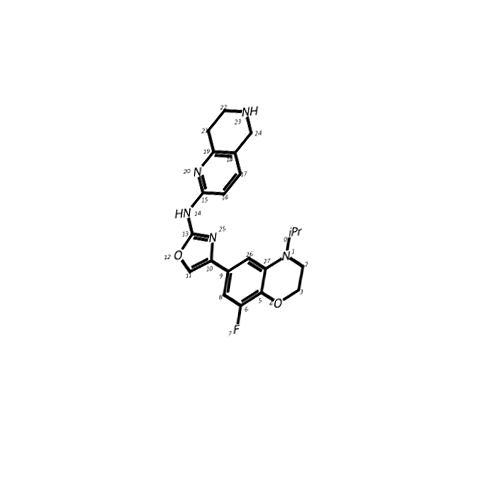 CC(C)N1CCOc2c(F)cc(-c3coc(Nc4ccc5c(n4)CCNC5)n3)cc21